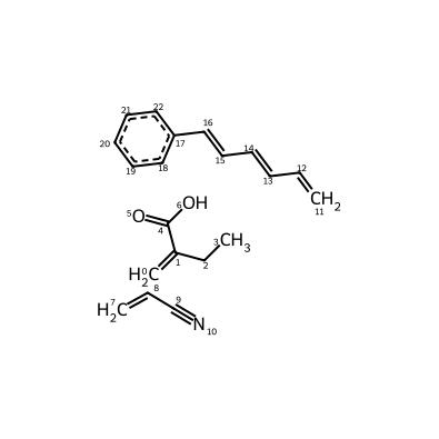 C=C(CC)C(=O)O.C=CC#N.C=CC=CC=Cc1ccccc1